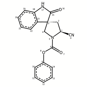 N#C[C@@H]1C[C@@]2(CN1C(=O)Oc1ccccc1)C(=O)Nc1ccccc12